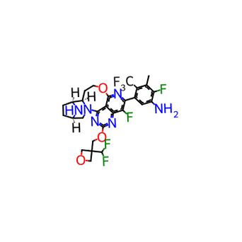 Cc1c(F)c(N)cc(-c2nc3c4c(nc(OCC5(C(F)F)COC5)nc4c2F)N2C[C@H]4CC[C@H](N4)[C@H]2CCO3)c1C(F)(F)F